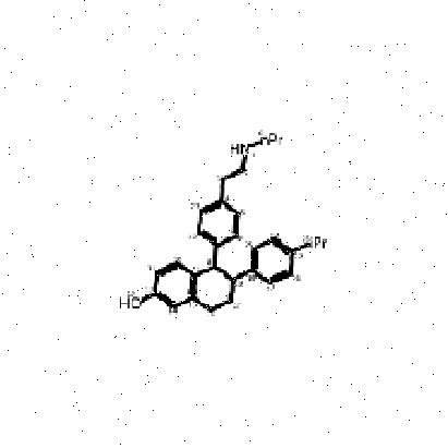 CCCNCCc1ccc(C2c3ccc(O)cc3CCC2c2ccc(C(C)C)cc2)cc1